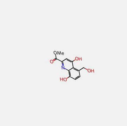 COC(=O)c1cc(O)c2c(CO)ccc(O)c2n1